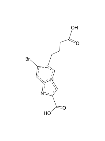 O=C(O)CCCc1cn2cc(C(=O)O)nc2cc1Br